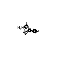 N[C@@H]1C[C@@H](F)CN(C2CC(c3ccc(F)cc3)CC2n2cncn2)C1